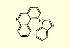 c1ccc2[nH]cnc2c1.c1ccc2c(c1)cnc1ccccc12